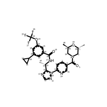 C[C@@H]1CN(C(=O)c2ccc(-n3ncnc3[C@H](C)NC(=O)c3cc(OC(F)(F)F)cc(C4CC4)c3)nc2)C[C@@H](C)O1